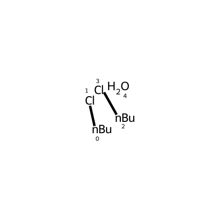 CCCCCl.CCCCCl.O